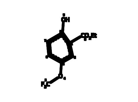 CCOC(=O)c1cc(OC(F)(F)F)ccc1O